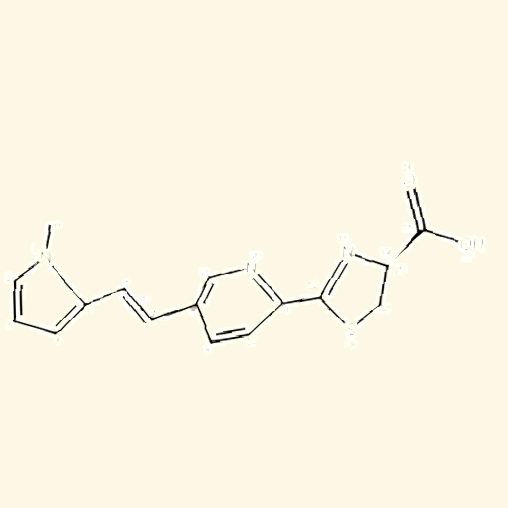 Cn1cccc1/C=C/c1ccc(C2=N[C@@H](C(=O)O)CS2)nc1